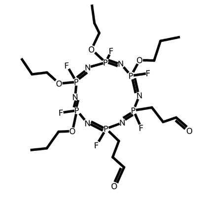 CCCOP1(F)=NP(F)(CCC=O)=NP(F)(CCC=O)=NP(F)(OCCC)=NP(F)(OCCC)=NP(F)(OCCC)=N1